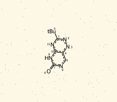 CC(C)(C)c1nnc2cnc(=O)[nH]c2n1